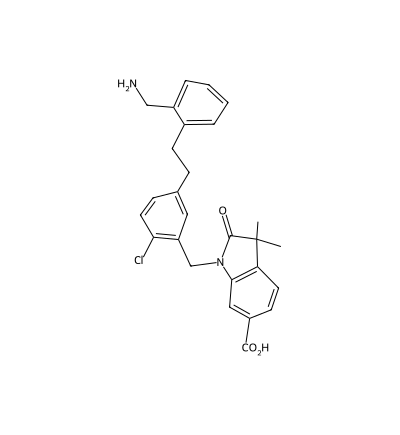 CC1(C)C(=O)N(Cc2cc(CCc3ccccc3CN)ccc2Cl)c2cc(C(=O)O)ccc21